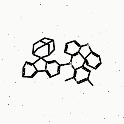 Cc1cc(C)c(N(c2ccc3c(c2)C2(c4ccccc4-3)C3CC4CC(C3)CC2C4)c2cccc3sc4ccccc4c23)c(C)c1